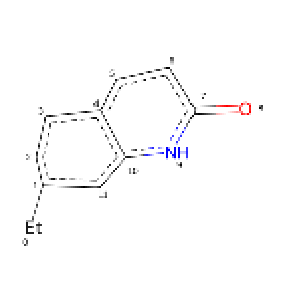 CCc1ccc2ccc(=O)[nH]c2c1